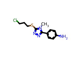 Cn1c(SCCCCl)nnc1-c1ccc(N)cc1